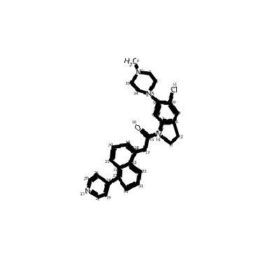 CN1CCN(c2cc3c(cc2Cl)CCN3C(=O)Cc2cccc3c(-c4ccncc4)cccc23)CC1